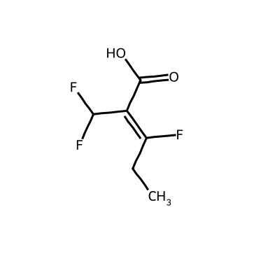 CCC(F)=C(C(=O)O)C(F)F